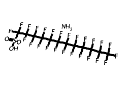 N.O=S(=O)(O)C(F)(F)C(F)(F)C(F)(F)C(F)(F)C(F)(F)C(F)(F)C(F)(F)C(F)(F)C(F)(F)C(F)(F)C(F)(F)C(F)(F)F